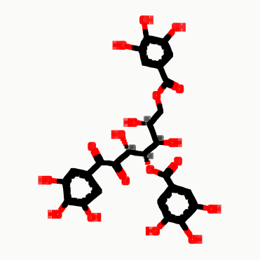 O=C(OC[C@@H](O)[C@@H](O)[C@H](OC(=O)c1cc(O)c(O)c(O)c1)[C@@H](O)C(=O)C(=O)c1cc(O)c(O)c(O)c1)c1cc(O)c(O)c(O)c1